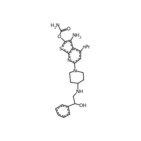 CCCc1cc(N2CCC(NCC(O)c3ccccc3)CC2)nc2sc(OC(N)=O)c(N)c12